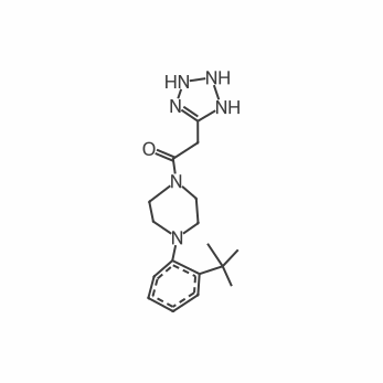 CC(C)(C)c1ccccc1N1CCN(C(=O)CC2=NNNN2)CC1